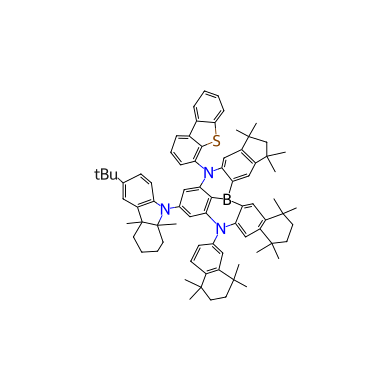 CC(C)(C)c1ccc2c(c1)C1(C)CCCCC1(C)N2c1cc2c3c(c1)N(c1cccc4c1sc1ccccc14)c1cc4c(cc1B3c1cc3c(cc1N2c1ccc2c(c1)C(C)(C)CCC2(C)C)C(C)(C)CCC3(C)C)C(C)(C)CC4(C)C